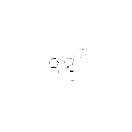 COC(=O)[C@]1(F)CN(C2CCNCC2)C[C@H]1c1ccc(F)cc1F